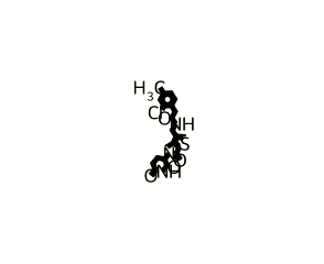 Cc1ccc(CC(=O)NCc2csc3c2CN(C2CCC(=O)NC2=O)C3=O)c(Cl)c1